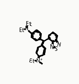 CCN(CC)c1ccc(C(=C2C=CC(=[N+](C)CC)C=C2)c2cccc3nsnc23)cc1